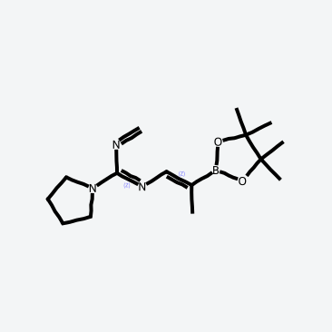 C=N/C(=N\C=C(/C)B1OC(C)(C)C(C)(C)O1)N1CCCC1